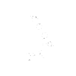 CN(CCCc1ncc(-c2ccc(-c3ccc(C4CN=CN4)cc3)cc2)[nH]1)C(=O)CNC(=O)OC(C)(C)C